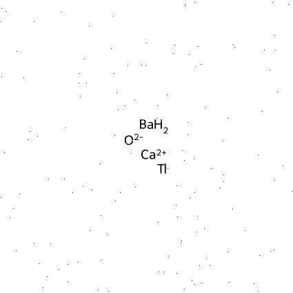 [BaH2].[Ca+2].[O-2].[Tl]